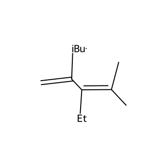 C=C([C](C)CC)C(CC)=C(C)C